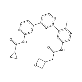 Cc1ncc(NC(=O)CC2COC2)cc1-c1nccc(-c2ccnc(NC(=O)C3CC3)c2)n1